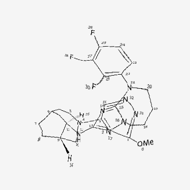 COc1cc(N2CC3CC[C@@H](C2)[C@@H]3Nc2nc3n(n2)CCCN3c2ccc(F)c(F)c2F)cnn1